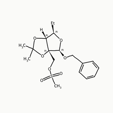 CC[C@H]1O[C@@H](OCc2ccccc2)[C@]2(COS(C)(=O)=O)OC(C)(C)O[C@H]12